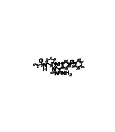 C=CC(=O)NC1CCCC(Nc2ncnc(N)c2-c2ccc(Oc3ccccc3)cc2)C1